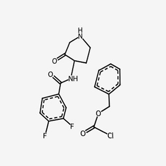 O=C(Cl)OCc1ccccc1.O=C(NC1CCNCC1=O)c1ccc(F)c(F)c1